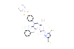 C=C/C=C(\C(=N)[C@H](Cc1cc(F)cc(F)c1)NC(=O)Cn1nc(C(F)F)cc1C(F)F)c1ccc(S(=O)(=O)N2CCOCC2)cc1